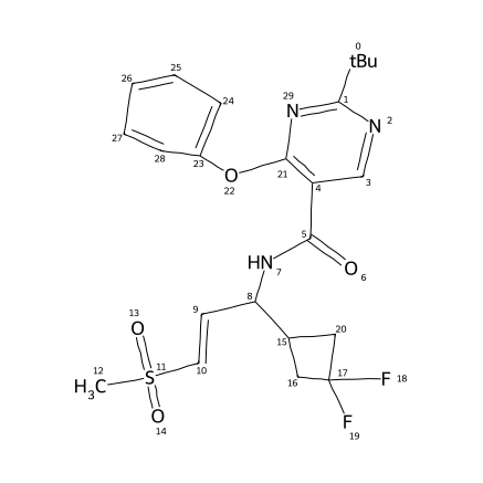 CC(C)(C)c1ncc(C(=O)NC(C=CS(C)(=O)=O)C2CC(F)(F)C2)c(Oc2ccccc2)n1